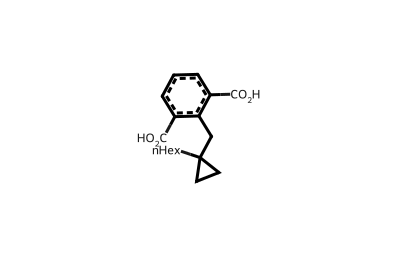 CCCCCCC1(Cc2c(C(=O)O)cccc2C(=O)O)CC1